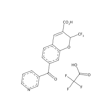 O=C(O)C(F)(F)F.O=C(O)C1=Cc2ccc(C(=O)c3cccnc3)cc2OC1C(F)(F)F